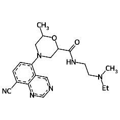 CCN(C)CCNC(=O)C1CN(c2ccc(C#N)c3ncncc23)CC(C)O1